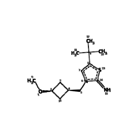 CO[C@H]1C[C@@H](Cn2cc(C(C)(C)C)sc2=N)C1